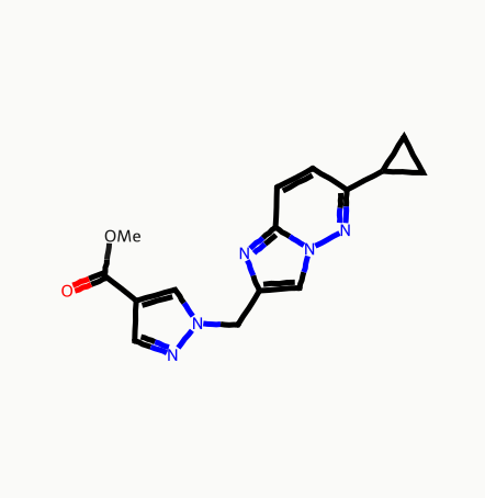 COC(=O)c1cnn(Cc2cn3nc(C4CC4)ccc3n2)c1